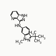 Cn1nc(C(C)(C)C)c2ccc(Nc3n[nH]c4cccnc34)cc21